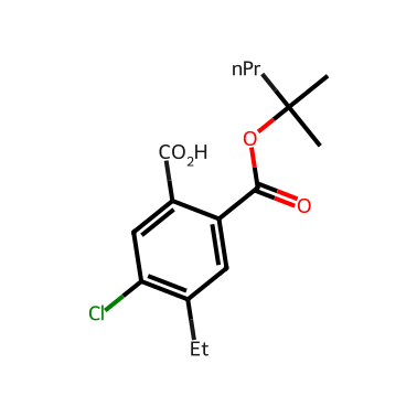 CCCC(C)(C)OC(=O)c1cc(CC)c(Cl)cc1C(=O)O